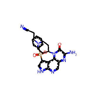 N#CCCN1CCC(n2c(=O)c(N)nc3cnc4[nH]cc(S(=O)(=O)c5ccccc5)c4c32)CC1